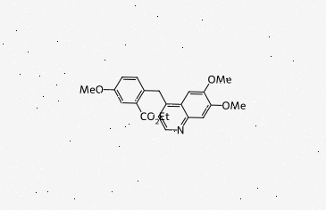 CCOC(=O)c1cc(OC)ccc1Cc1ccnc2cc(OC)c(OC)cc12